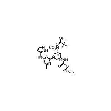 Cc1cc(Nc2ccn[nH]2)nc(N2C[C@H](NC(=O)O[C@@H](C)C(F)(F)F)C[C@@H](C(=O)O)C2)n1.O=C(O)C(F)(F)F